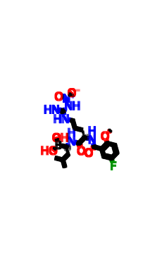 COc1ccc(F)cc1C(=O)N[C@@H](CCCNC(=N)N[N+](=O)[O-])C(=O)N[C@@H](CC(C)C)B(O)O